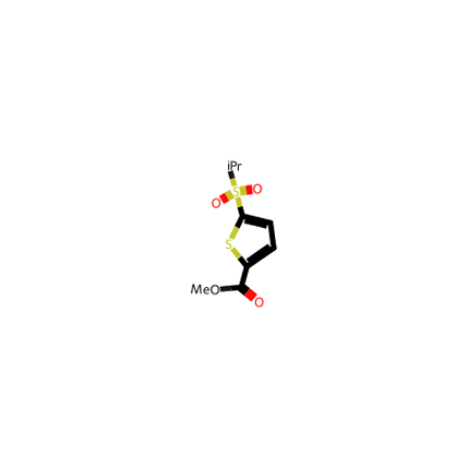 COC(=O)c1ccc(S(=O)(=O)C(C)C)s1